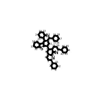 c1ccc(-c2ccc3cc(-c4cc5c(-c6ccccc6)nc6ccccc6c5c5c4sc4ccccc45)c4ccc(-c5ccccc5)nc4c3n2)cc1